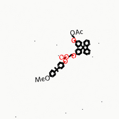 COc1ccc(C(C)(C)c2ccc(OC(=O)OCCOc3ccc(C4(c5ccc(OCCOC(C)=O)cc5)c5ccccc5-c5ccccc54)cc3)cc2)cc1